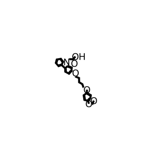 O=C(O)Cn1c2ccccc2c2ccc(OCCCCCOc3ccc4c(c3)OCO4)cc21